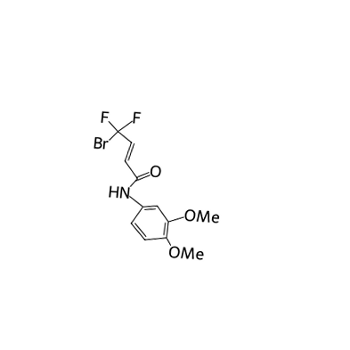 COc1ccc(NC(=O)C=CC(F)(F)Br)cc1OC